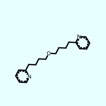 c1ccc(CCCCOCCCCc2ccccn2)nc1